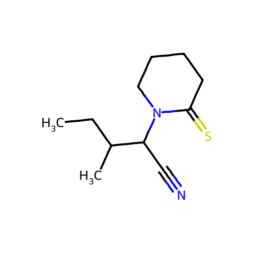 CCC(C)C(C#N)N1CCCCC1=S